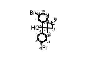 CC(C)c1ccc([C@](O)(c2cncc(Br)c2)C2(C)CN(C)C2)cc1